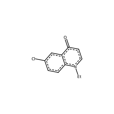 CCn1ccc(=O)c2cc(Cl)ccc21